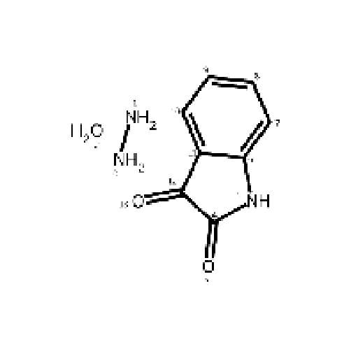 NN.O.O=C1Nc2ccccc2C1=O